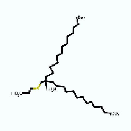 CCCCCCCCCCCCCCCCCCCCCCC(CCCCCCCCCCCCCCCCCCCCCC)(CSCCC(=O)O)C(=O)O